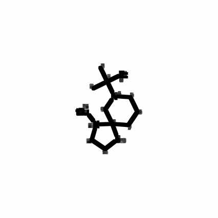 CCC(C)(C)N1CCCC2(C1)SCCN2C(C)(C)C